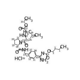 CCCCOC(=O)N=C(N)c1ccc(CNC(=O)[C@@H]2CCCN2C(=O)[C@@H](CC(C)C)NCC(=O)OCC)cc1.Cl